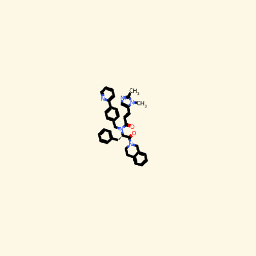 Cc1ncc(/C=C/C(=O)N(Cc2ccc(-c3ccccn3)cc2)[C@@H](Cc2ccccc2)C(=O)N2CCc3ccccc3C2)n1C